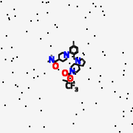 Cc1ccc(CN2CCCC23CCN(C(=O)OC(C)C(F)(F)F)CC3)c(N2CCC(C(=O)N(C)C)CC2)c1